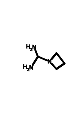 NC(N)N1CCC1